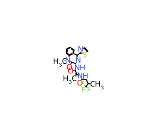 CC(CC(=O)N[C@@H](C)C(=O)NC1N=C(c2nccs2)c2ccccc2N(C)C1=O)C(F)(F)F